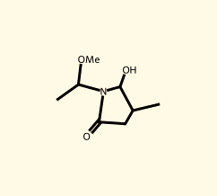 COC(C)N1C(=O)CC(C)C1O